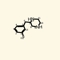 Fc1cccc(CC2CNCCN2)c1